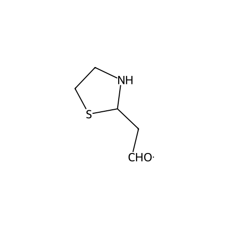 O=[C]CC1NCCS1